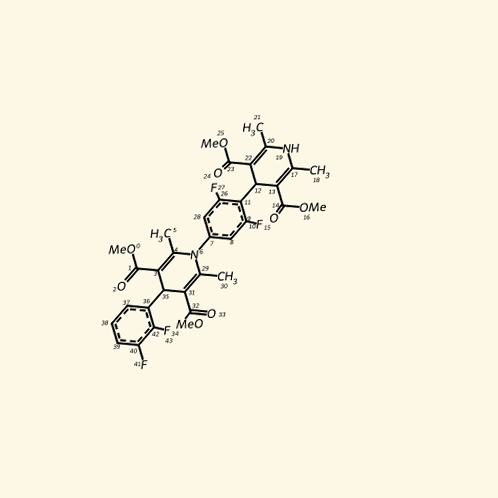 COC(=O)C1=C(C)N(c2cc(F)c(C3C(C(=O)OC)=C(C)NC(C)=C3C(=O)OC)c(F)c2)C(C)=C(C(=O)OC)C1c1cccc(F)c1F